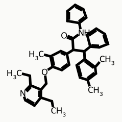 CCc1ccnc(CC)c1COc1ccc(C(C(=O)Nc2ccccc2)C(c2ccccc2)c2ccc(C)cc2C)cc1C